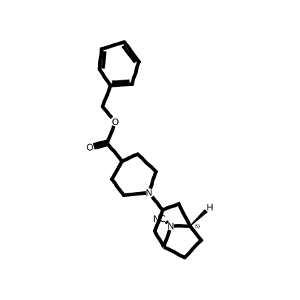 N#CN1C2CC[C@H]1CC(N1CCC(C(=O)OCc3ccccc3)CC1)C2